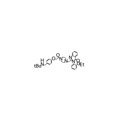 CCOc1ccccc1-n1c(CN2CCN(C(=O)COc3ccc(CNC(C)(C)C)cc3)CC2)nc2ccccc2c1=O